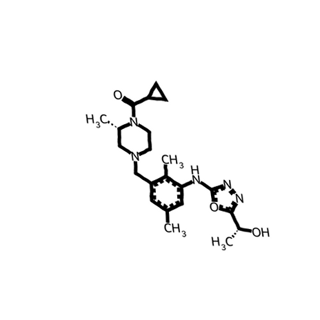 Cc1cc(CN2CCN(C(=O)C3CC3)[C@@H](C)C2)c(C)c(Nc2nnc([C@@H](C)O)o2)c1